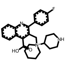 O=C(O)c1c(C[N+]2(C3CCNCC3)CCCCC2)c(-c2ccc(F)cc2)nc2ccccc12